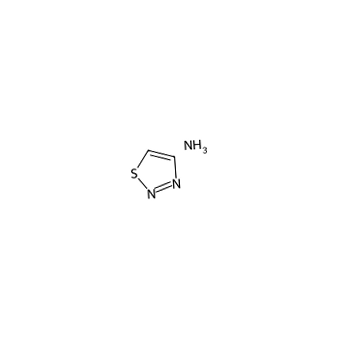 N.c1csnn1